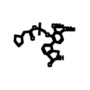 COc1ccc(-c2cccc3c2CNC3=O)c(OCC(C)(C)OC(=O)CC2CCCC2)c1OC